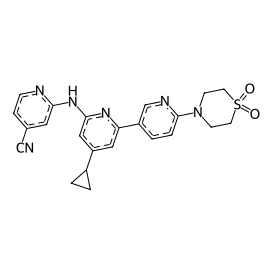 N#Cc1ccnc(Nc2cc(C3CC3)cc(-c3ccc(N4CCS(=O)(=O)CC4)nc3)n2)c1